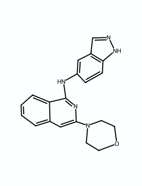 c1ccc2c(Nc3ccc4[nH]ncc4c3)nc(N3CCOCC3)cc2c1